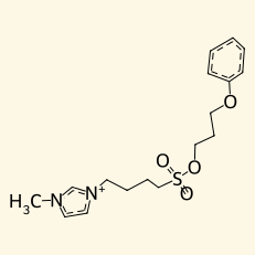 Cn1cc[n+](CCCCS(=O)(=O)OCCCOc2ccccc2)c1